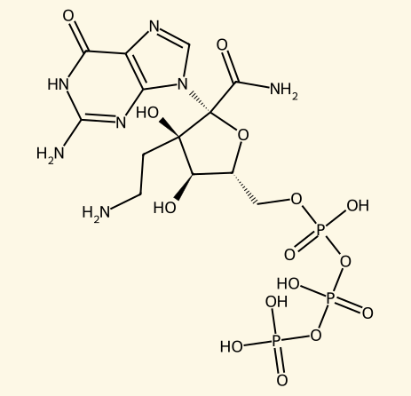 NCC[C@@]1(O)[C@H](O)[C@@H](COP(=O)(O)OP(=O)(O)OP(=O)(O)O)O[C@@]1(C(N)=O)n1cnc2c(=O)[nH]c(N)nc21